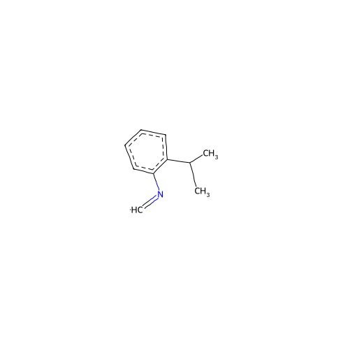 [CH]=Nc1ccccc1C(C)C